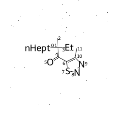 CCCCCCCC(C)(CC)C(=O)c1snnc1C